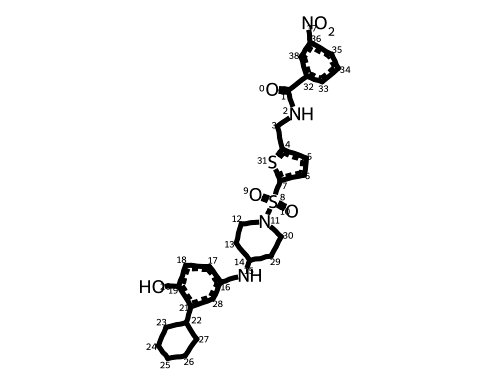 O=C(NCc1ccc(S(=O)(=O)N2CCC(Nc3ccc(O)c(C4CCCCC4)c3)CC2)s1)c1cccc([N+](=O)[O-])c1